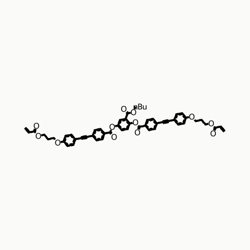 C=CC(=O)OCCCOc1ccc(C#Cc2ccc(C(=O)Oc3ccc(OC(=O)c4ccc(C#Cc5ccc(OCCCOC(=O)C=C)cc5)cc4)c(C(=O)OCCCC)c3)cc2)cc1